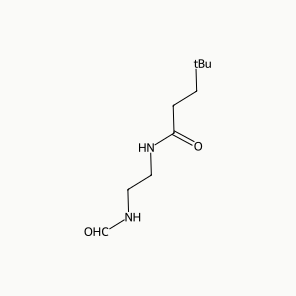 CC(C)(C)CCC(=O)NCCNC=O